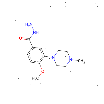 COc1ccc(C(=O)NN)cc1N1CCN(C)CC1